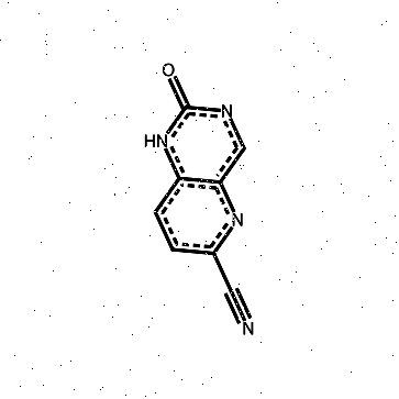 N#Cc1ccc2[nH]c(=O)ncc2n1